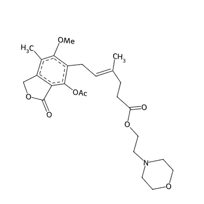 COc1c(C)c2c(c(OC(C)=O)c1C/C=C(\C)CCC(=O)OCCN1CCOCC1)C(=O)OC2